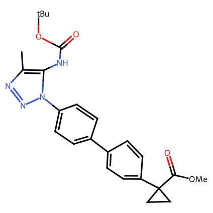 COC(=O)C1(c2ccc(-c3ccc(-n4nnc(C)c4NC(=O)OC(C)(C)C)cc3)cc2)CC1